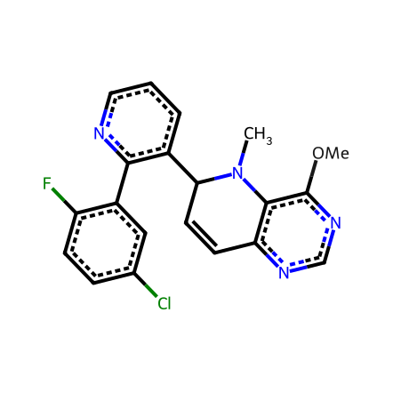 COc1ncnc2c1N(C)C(c1cccnc1-c1cc(Cl)ccc1F)C=C2